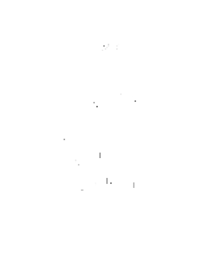 CCC[C@H](c1nc2cc(CN3CCC(c4cccc(OC)c4)(N(C)C)CC3)cnc2n1C)N1C[C@@H](C)N[C@@H](C)C1